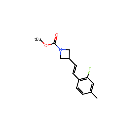 Cc1ccc(C=CC2CN(C(=O)OC(C)(C)C)C2)c(F)c1